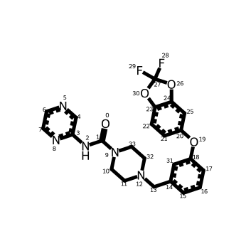 O=C(Nc1cnccn1)N1CCN(Cc2cccc(Oc3ccc4c(c3)OC(F)(F)O4)c2)CC1